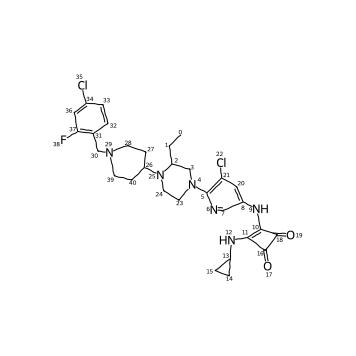 CCC1CN(c2ncc(Nc3c(NC4CC4)c(=O)c3=O)cc2Cl)CCN1C1CCN(Cc2ccc(Cl)cc2F)CC1